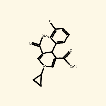 COC(=O)C1=CN(C2CC2)C=C(C(=O)OC)C1c1cccc(F)c1